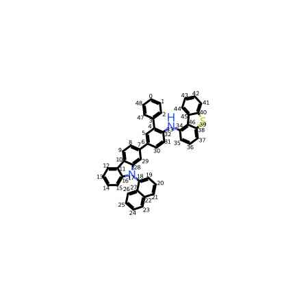 c1ccc(-c2cc(-c3ccc4c5ccccc5n(-c5cccc6ccccc56)c4c3)ccc2Nc2cccc3sc4ccccc4c23)cc1